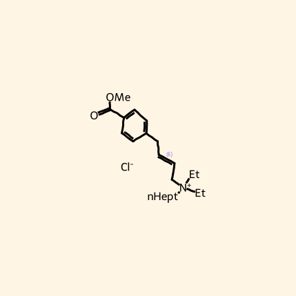 CCCCCCC[N+](CC)(CC)C/C=C/Cc1ccc(C(=O)OC)cc1.[Cl-]